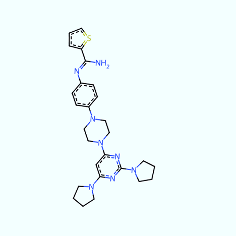 NC(=Nc1ccc(N2CCN(c3cc(N4CCCC4)nc(N4CCCC4)n3)CC2)cc1)c1cccs1